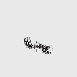 COc1ccc(N(C)CCCCNCC(O)c2ccc(O)c(SC)c2)cc1